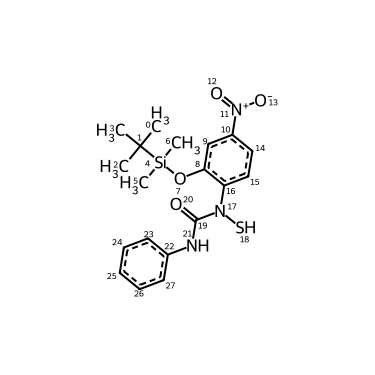 CC(C)(C)[Si](C)(C)Oc1cc([N+](=O)[O-])ccc1N(S)C(=O)Nc1ccccc1